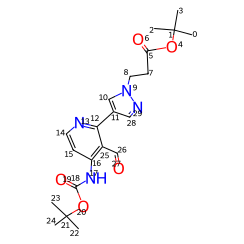 CC(C)(C)OC(=O)CCn1cc(-c2nccc(NC(=O)OC(C)(C)C)c2C=O)cn1